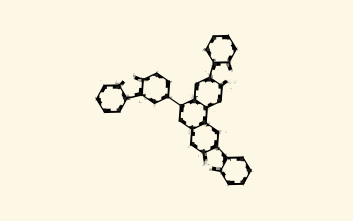 c1ccc2c(c1)oc1ccc(-c3cc4cc5oc6ccccc6c5cc4c4cc5oc6ccccc6c5cc34)cc12